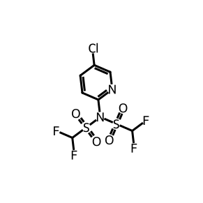 O=S(=O)(C(F)F)N(c1ccc(Cl)cn1)S(=O)(=O)C(F)F